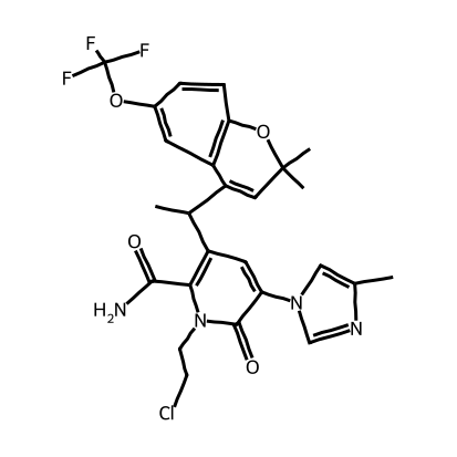 Cc1cn(-c2cc(C(C)C3=CC(C)(C)Oc4ccc(OC(F)(F)F)cc43)c(C(N)=O)n(CCCl)c2=O)cn1